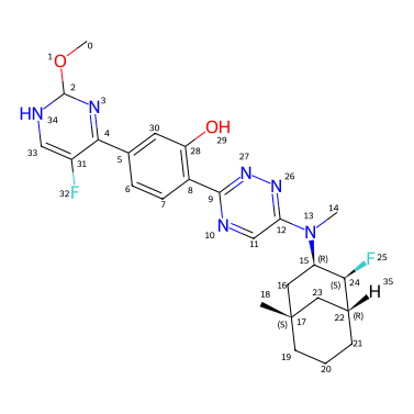 COC1N=C(c2ccc(-c3ncc(N(C)[C@@H]4C[C@@]5(C)CCC[C@H](C5)[C@@H]4F)nn3)c(O)c2)C(F)=CN1